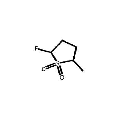 CC1CCC(F)S1(=O)=O